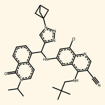 CC(C)n1ccc2c(C(Nc3cc(Cl)c4ncc(C#N)c(NCC(C)(C)C)c4c3)c3cn(C45CC(C4)C5)nn3)cccc2c1=O